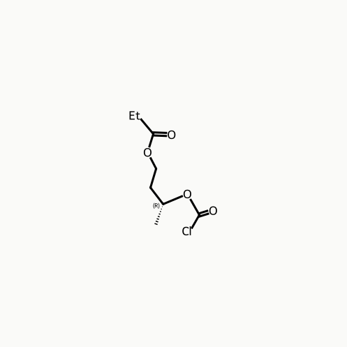 CCC(=O)OCC[C@@H](C)OC(=O)Cl